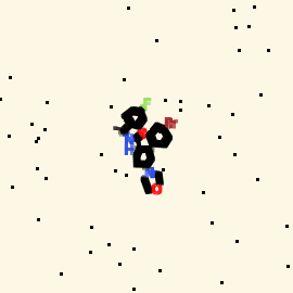 C[C@@H](NC(=O)[C@@H]1CC[C@@H](N2CCOCC2)C[C@H]1c1ccc(Br)cc1)c1ccc(F)cc1